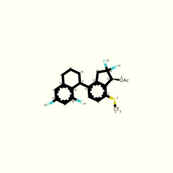 CC(=O)O[C@H]1c2c(SC(F)(F)F)ccc(C3CCCc4cc(F)cc(F)c43)c2CC1(F)F